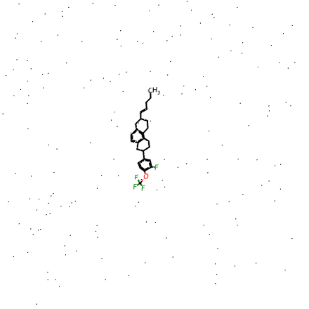 CCC/C=C/C1CCc2c(ccc3c2CCC(c2ccc(OC(F)(F)F)c(F)c2)C3)C1